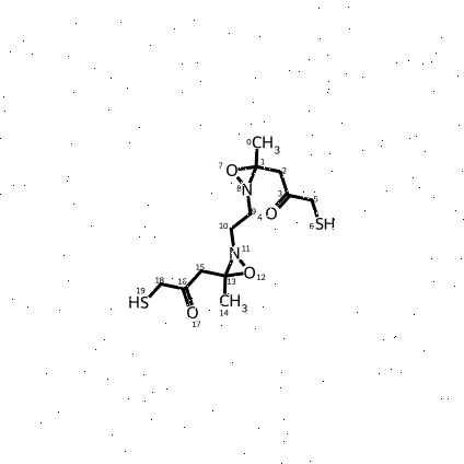 CC1(CC(=O)CS)ON1CCN1OC1(C)CC(=O)CS